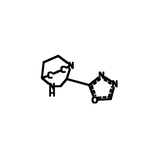 c1nnc(C2CNC3CCN2CC3)o1